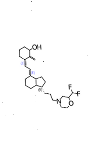 C=C1/C(=C\C=C2/CCCC3C2CC[C@@H]3CCCN2CCOC(C(F)F)C2)CCCC1O